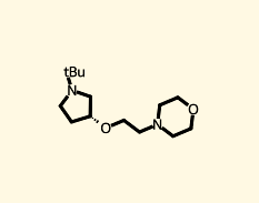 CC(C)(C)N1CC[C@@H](OCCN2CCOCC2)C1